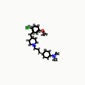 CCN(C(C)=O)[C@H]1CC[C@H](CCCN2CCC(Cc3cc(OC(C)C)ccc3Br)CC2)CC1